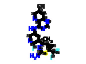 C[C@@]1(c2cc(Nc3ncnc4cc(C#N)cnc34)cnc2F)N=C(N)S[C@@]2(C(F)F)C[C@@H]12